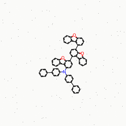 c1ccc(-c2ccc(N(c3ccc(-c4ccccc4)cc3)c3ccc(-c4ccc(-c5cccc6oc7ccccc7c56)c5oc6ccccc6c45)c4oc5ccccc5c34)cc2)cc1